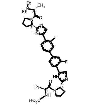 CCN(CC)[C@H](C)C(=O)N1CCC[C@H]1c1ncc(-c2ccc(-c3ccc(-c4cnc([C@@H]5CCCN5C(=O)[C@@H](NC(=O)O)C(C)C)[nH]4)c(F)c3)cc2F)[nH]1